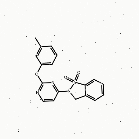 Cc1cccc(Oc2nccc(N3Cc4ccccc4S3(=O)=O)n2)c1